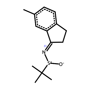 Cc1ccc2c(c1)/C(=N/[S+]([O-])C(C)(C)C)CC2